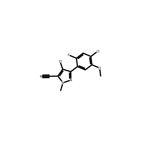 COc1cc(-c2nn(C)c(C#N)c2Cl)c(F)cc1Cl